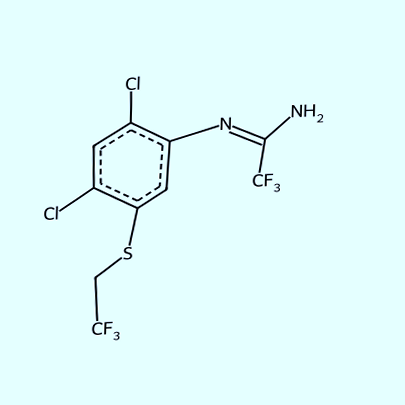 N/C(=N/c1cc(SCC(F)(F)F)c(Cl)cc1Cl)C(F)(F)F